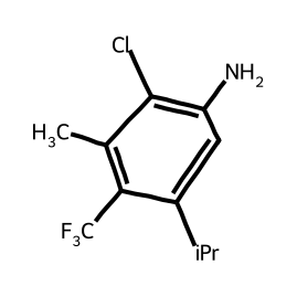 Cc1c(Cl)c(N)cc(C(C)C)c1C(F)(F)F